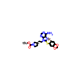 CC(C)(C)OC(=O)N1CC[C@H](CCn2c(Sc3cc4c(cc3Br)OCO4)nc3c(N)ncnc32)C1